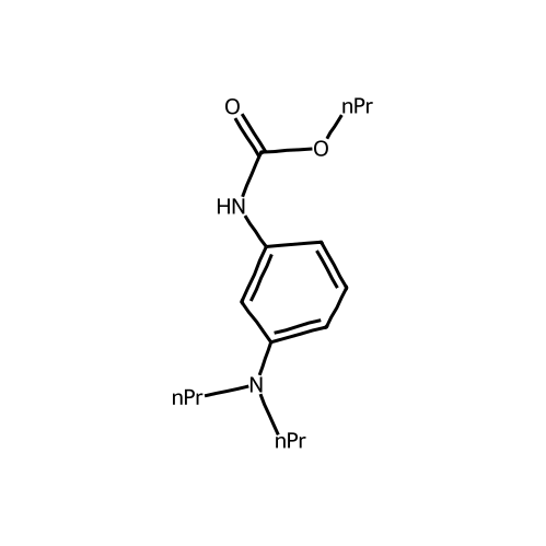 CCCOC(=O)Nc1cccc(N(CCC)CCC)c1